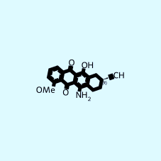 C#C[C@@H]1CCc2c(N)c3c(c(O)c2C1)C(=O)c1cccc(OC)c1C3=O